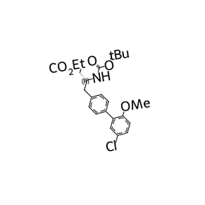 CCOC(=O)C[C@@H](Cc1ccc(-c2cc(Cl)ccc2OC)cc1)NC(=O)OC(C)(C)C